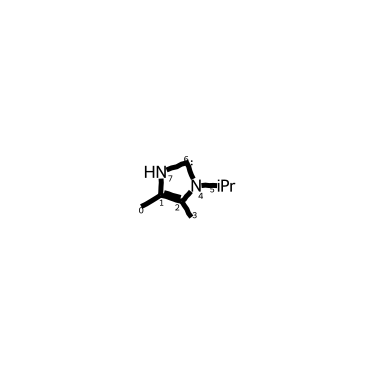 CC1=C(C)N(C(C)C)[C]N1